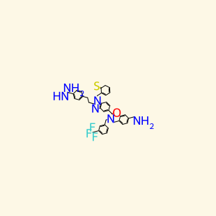 N=C(N)c1ccc(CCc2nc3cc(C(=O)N(Cc4ccc(CN)cc4)Cc4cccc(C(F)(F)F)c4)ccc3n2CC2=CC=CCC2=S)cc1